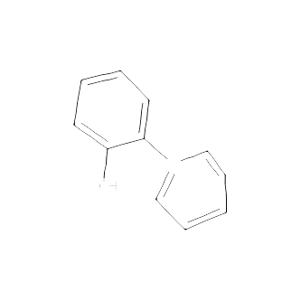 Cc1ccccc1-[si]1ccccc1